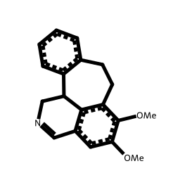 COc1cc2c3c(c1OC)CCc1ccccc1C3CN=C2